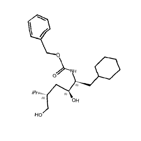 CC(C)[C@@H](CO)C[C@H](O)[C@H](CC1CCCCC1)NC(=O)OCc1ccccc1